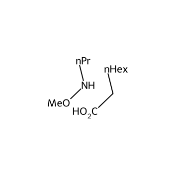 CCCCCCCC(=O)O.CCCNOC